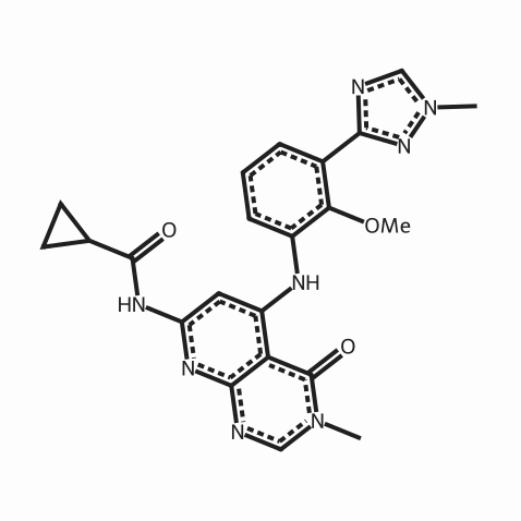 COc1c(Nc2cc(NC(=O)C3CC3)nc3ncn(C)c(=O)c23)cccc1-c1ncn(C)n1